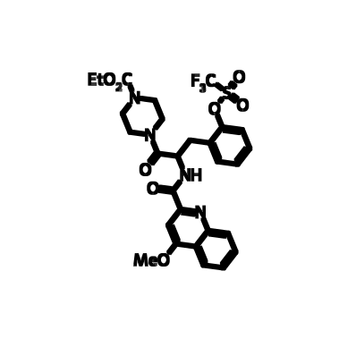 CCOC(=O)N1CCN(C(=O)C(Cc2ccccc2OS(=O)(=O)C(F)(F)F)NC(=O)c2cc(OC)c3ccccc3n2)CC1